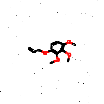 C=CCOc1ccc(OC)c(OC)c1OC